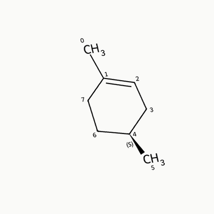 CC1=CC[C@@H](C)CC1